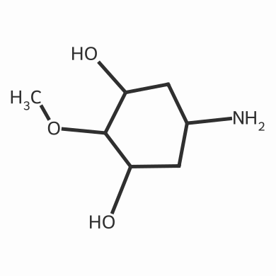 COC1C(O)CC(N)CC1O